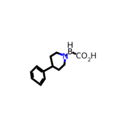 O=C(O)BN1CCC(c2ccccc2)CC1